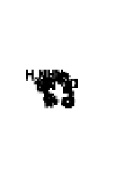 Cn1cc(-c2cnn3c(N)cc(C4CN(C(=O)OCc5ccccc5)CCN4)nc23)cn1